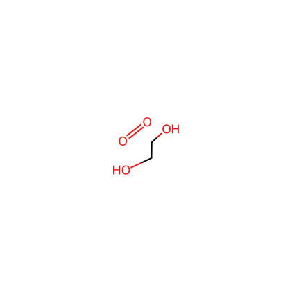 O=O.OCCO